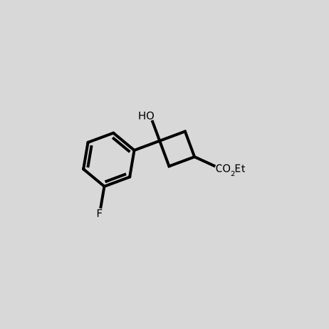 CCOC(=O)C1CC(O)(c2cccc(F)c2)C1